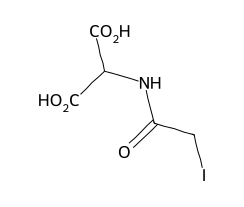 O=C(CI)NC(C(=O)O)C(=O)O